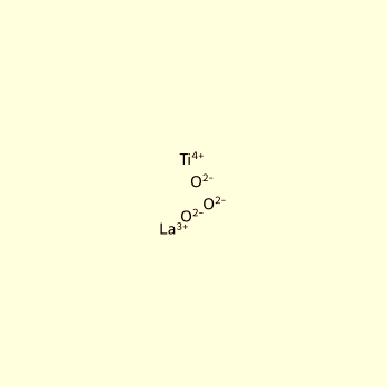 [La+3].[O-2].[O-2].[O-2].[Ti+4]